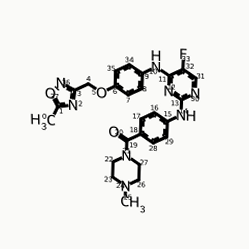 Cc1nc(COc2ccc(Nc3nc(Nc4ccc(C(=O)N5CCN(C)CC5)cc4)ncc3F)cc2)no1